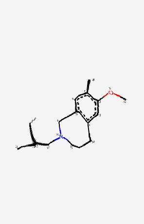 COc1cc2c(cc1C)CN(CC(C)C)CC2